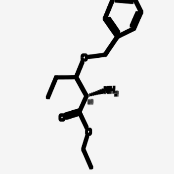 CCOC(=O)[C@@H](N)C(CC)OCc1ccccc1